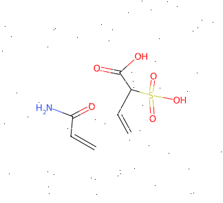 C=CC(C(=O)O)S(=O)(=O)O.C=CC(N)=O